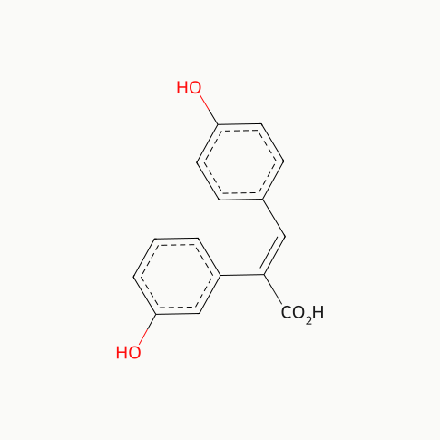 O=C(O)/C(=C/c1ccc(O)cc1)c1cccc(O)c1